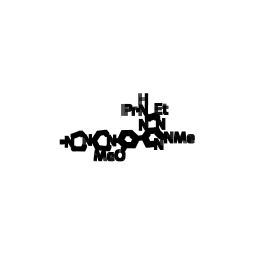 CCc1nc2c(NC)ncc(-c3ccc(N4CCC(N5CCN(C)CC5)CC4)c(OC)c3)c2nc1NC(C)C